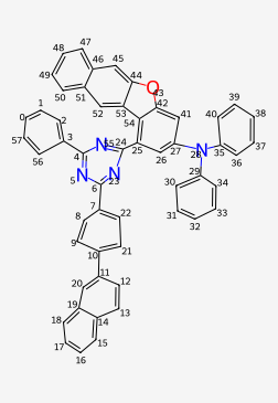 c1ccc(-c2nc(-c3ccc(-c4ccc5ccccc5c4)cc3)nc(-c3cc(N(c4ccccc4)c4ccccc4)cc4oc5cc6ccccc6cc5c34)n2)cc1